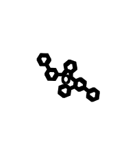 c1ccc(-c2cccc(-c3oc(-c4ccc(-c5ccccc5)cc4-c4ccccc4)c4ccccc34)c2)cc1